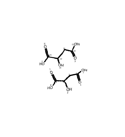 O=C(O)CC(O)C(=O)O.O=C(O)CC(O)C(=O)O